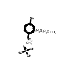 O.O.O.O.O.O.O=P(O)(O)O.O=[N+]([O-])c1cc[c]([Na])cc1